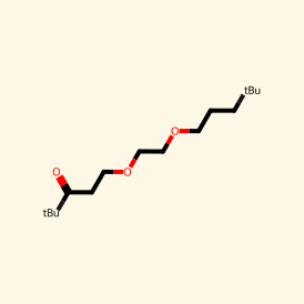 CC(C)(C)CCCOCCOCCC(=O)C(C)(C)C